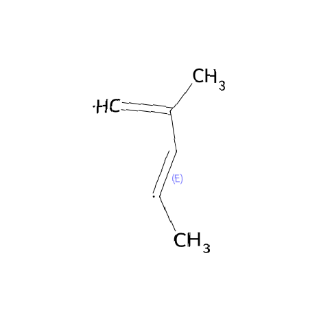 [CH]=C(C)/C=[C]/C